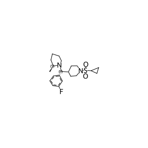 C[C@H]1CCCCN1[C@@H](c1cccc(F)c1)C1CCN(S(=O)(=O)C2CC2)CC1